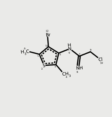 Cc1sc(C)c(NC(=N)CCl)c1Br